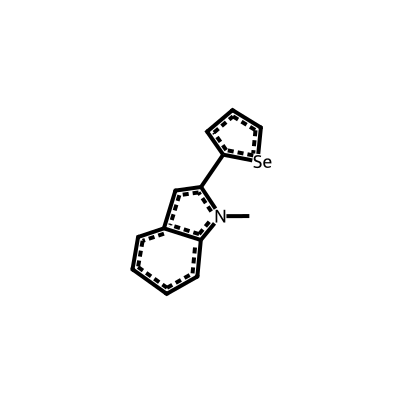 Cn1c(-c2ccc[se]2)cc2ccccc21